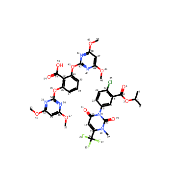 CC(C)OC(=O)c1cc(-n2c(=O)cc(C(F)(F)F)n(C)c2=O)ccc1Cl.COc1cc(OC)nc(Oc2cccc(Oc3nc(OC)cc(OC)n3)c2C(=O)O)n1